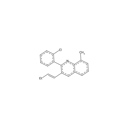 CCC=Cc1cc2cccc(C)c2nc1-c1ccccc1Cl